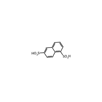 O=S(=O)(O)c1[c]c2cccc(S(=O)(=O)O)c2cc1